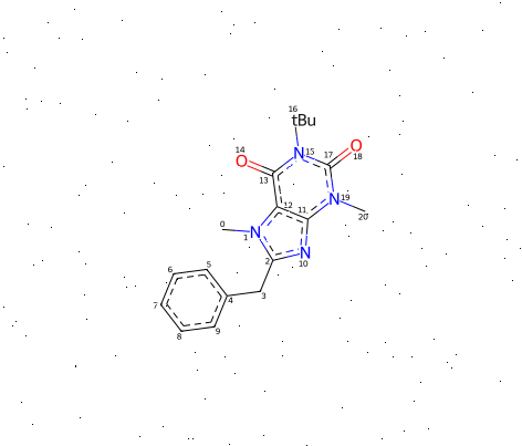 Cn1c(Cc2ccccc2)nc2c1c(=O)n(C(C)(C)C)c(=O)n2C